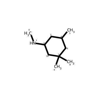 CNC1CC(C)CC(C)(C)C1